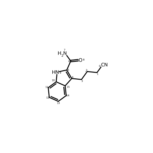 N#CC[CH]Cc1c(C(N)=O)[nH]c2ccccc12